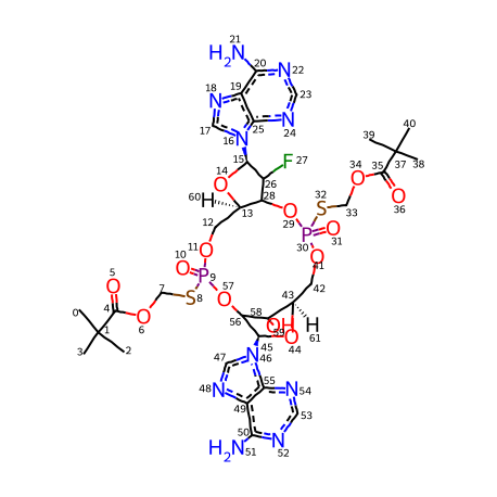 CC(C)(C)C(=O)OCSP1(=O)OC[C@H]2O[C@@H](n3cnc4c(N)ncnc43)C(F)C2OP(=O)(SCOC(=O)C(C)(C)C)OC[C@H]2O[C@@H](n3cnc4c(N)ncnc43)C(O1)C2O